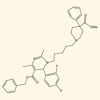 COC(=O)C1(c2ccccc2)CCN(CCCCCN2C(C)=NC(C)=C(C(=O)OCc3ccccc3)C2c2ccc(F)cc2F)CC1